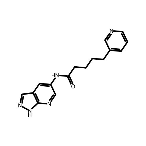 O=C(CCCCc1cccnc1)Nc1cnc2[nH]ncc2c1